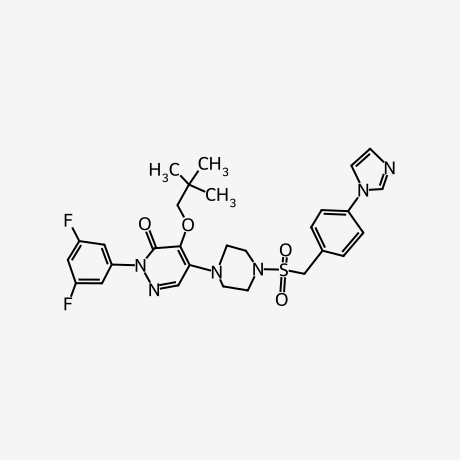 CC(C)(C)COc1c(N2CCN(S(=O)(=O)Cc3ccc(-n4ccnc4)cc3)CC2)cnn(-c2cc(F)cc(F)c2)c1=O